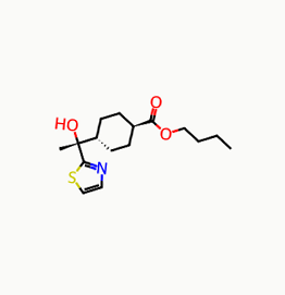 CCCCOC(=O)[C@H]1CC[C@H]([C@@](C)(O)c2nccs2)CC1